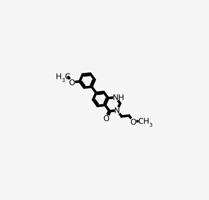 COCCN1CNc2cc(-c3cccc(OC)c3)ccc2C1=O